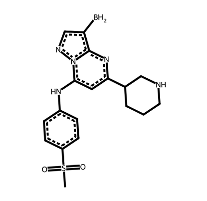 Bc1cnn2c(Nc3ccc(S(C)(=O)=O)cc3)cc(C3CCCNC3)nc12